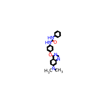 CN(C)c1ccc2c(Oc3ccc(NC(=O)Nc4ccccc4)cc3)ncnc2c1